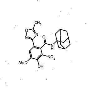 COc1cc(-c2noc(C)n2)c(C(=O)NC23CC4CC(CC(C4)C2)C3)c([N+](=O)[O-])c1O